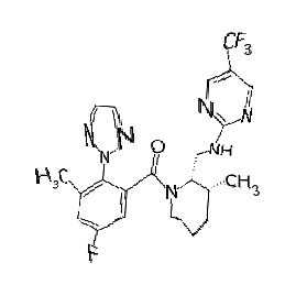 Cc1cc(F)cc(C(=O)N2CCC[C@@H](C)[C@H]2CNc2ncc(C(F)(F)F)cn2)c1-n1nccn1